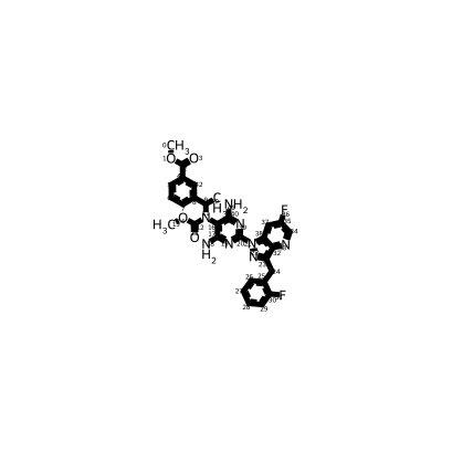 COC(=O)c1cccc(C(C)N(C(=O)OC)c2c(N)nc(-n3nc(Cc4ccccc4F)c4ncc(F)cc43)nc2N)c1